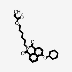 C=CC(=O)OCCCCCCN1C(=O)c2cccc3c(OC4CCCCC4)ccc(c23)C1=O